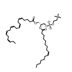 CC/C=C\C/C=C\C/C=C\C/C=C\C/C=C\CCCC(=O)OC[C@H](COP(=O)([O-])OCC[N+](C)(C)C)OC(=O)CCCCCCC/C=C\CCCCCC